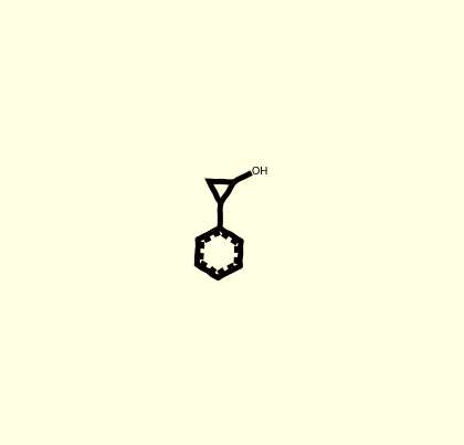 OC1CC1c1ccccc1